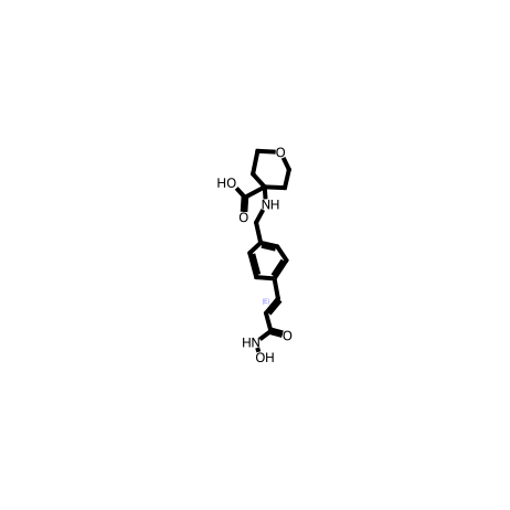 O=C(/C=C/c1ccc(CNC2(C(=O)O)CCOCC2)cc1)NO